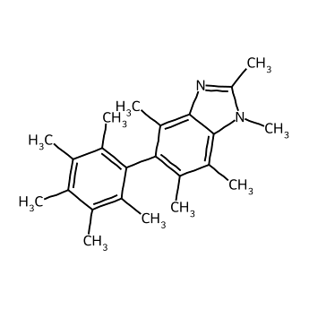 Cc1c(C)c(C)c(-c2c(C)c(C)c3c(nc(C)n3C)c2C)c(C)c1C